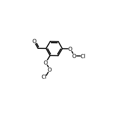 O=Cc1ccc(OOCl)cc1OOCl